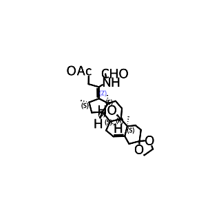 CC(=O)OC/C(NC=O)=C1\[C@@H](C)C[C@H]2[C@@H]3CC=C4CC5(CC[C@]4(C)[C@@]3(O)CC[C@]12C)OCCO5